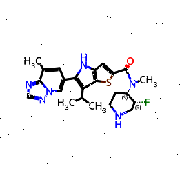 Cc1cc(-c2[nH]c3cc(C(=O)N(C)[C@H]4CCNC[C@H]4F)sc3c2C(C)C)cn2ncnc12